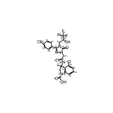 C[C@@](CNC(=O)O)(NC(=O)Cn1nc(-c2ccc(Cl)cc2)n(C[C@H](O)C(F)(F)F)c1=O)c1ccccc1Cl